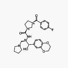 O=C(N[C@H](CN1CCCC1)C(O)c1ccc2c(c1)OCCO2)[C@H]1CC[C@@H](C(=O)c2ccc(F)cc2)C1